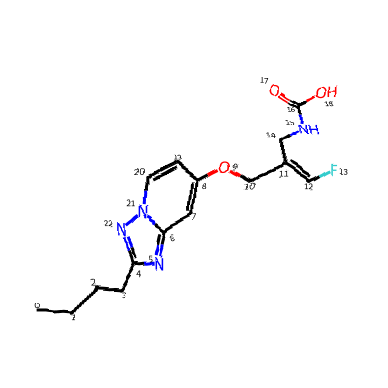 CCCCc1nc2cc(OC/C(=C/F)CNC(=O)O)ccn2n1